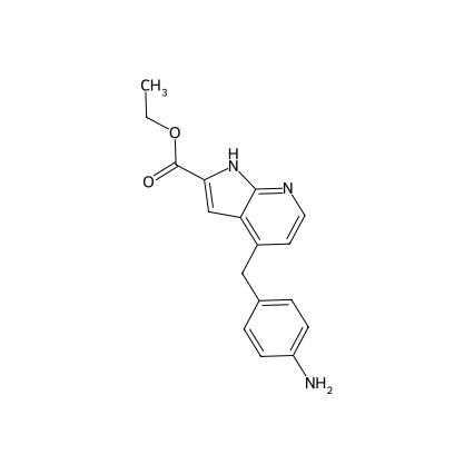 CCOC(=O)c1cc2c(Cc3ccc(N)cc3)ccnc2[nH]1